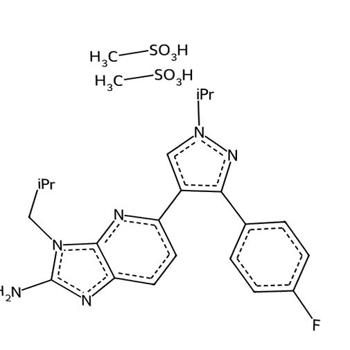 CC(C)Cn1c(N)nc2ccc(-c3cn(C(C)C)nc3-c3ccc(F)cc3)nc21.CS(=O)(=O)O.CS(=O)(=O)O